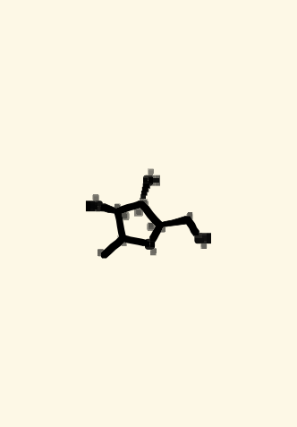 C[C]1O[C@H](CO)[C@@H](O)[C@@H]1O